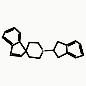 C1=CC2(CCN(C3Cc4ccccc4C3)CC2)c2ccccc21